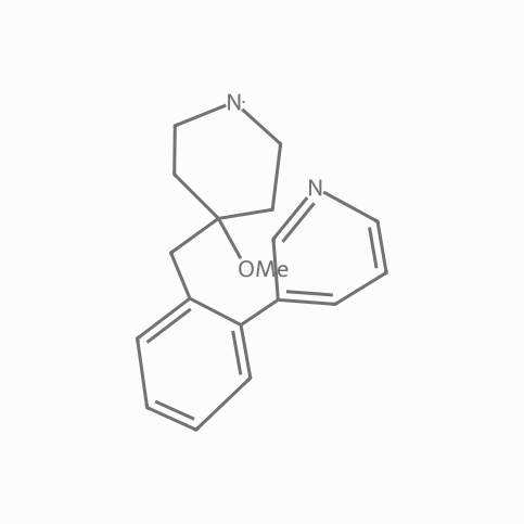 COC1(Cc2ccccc2-c2cccnc2)CC[N]CC1